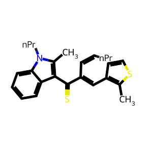 CCC/C=C\C(=C/c1ccsc1C)C(=S)c1c(C)n(CCC)c2ccccc12